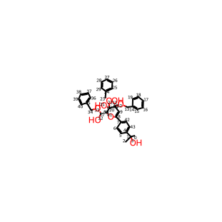 CC(C)(O)c1ccc(C2=C[C@](O)(OCc3ccccc3)[C@@](O)(OCc3ccccc3)[C@@H](C(O)OCc3ccccc3)O2)cc1